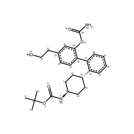 CC(C)(C)OC(=O)N[C@H]1CC[C@H](c2ccccc2-c2ccc(CCO)cc2OC(N)=O)CC1